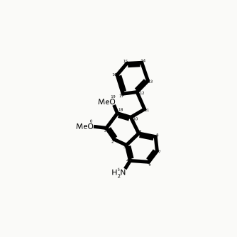 COc1cc2c(N)cccc2c(Cc2ccccc2)c1OC